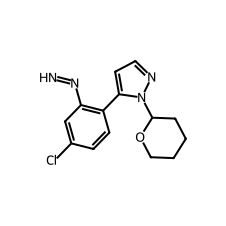 N=Nc1cc(Cl)ccc1-c1ccnn1C1CCCCO1